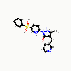 Cc1[nH]n(-c2ccc(S(=O)(=O)c3ccccc3)cn2)c(=O)c1Cc1cccnc1